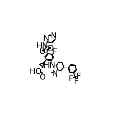 CN(C)[C@H]1C[C@@H](c2cccc(C(F)(F)F)c2)CC[C@@H]1Nc1cc(F)c(S(=O)(=O)Nc2ccncn2)cc1C1CC1.O=CO